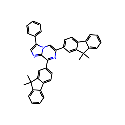 CC1(C)c2ccccc2-c2ccc(-c3cn4c(-c5ccccc5)cnc4c(-c4ccc5c(c4)C(C)(C)c4ccccc4-5)n3)cc21